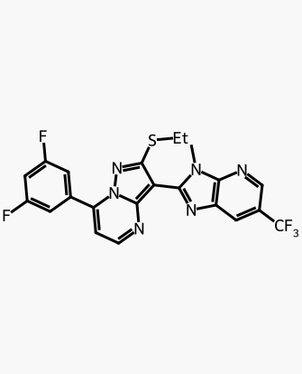 CCSc1nn2c(-c3cc(F)cc(F)c3)ccnc2c1-c1nc2cc(C(F)(F)F)cnc2n1C